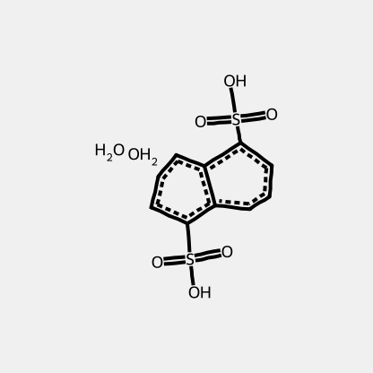 O.O.O=S(=O)(O)c1cccc2c(S(=O)(=O)O)cccc12